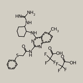 Cc1ccc2nc(NC(=O)CSc3ccccc3)nc(NC3CCCCC3NC(=N)N)c2c1.O=C(O)C(F)(F)F.O=C(O)C(F)(F)F